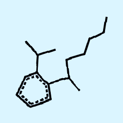 CCCCCC(C)c1ccccc1C(C)C